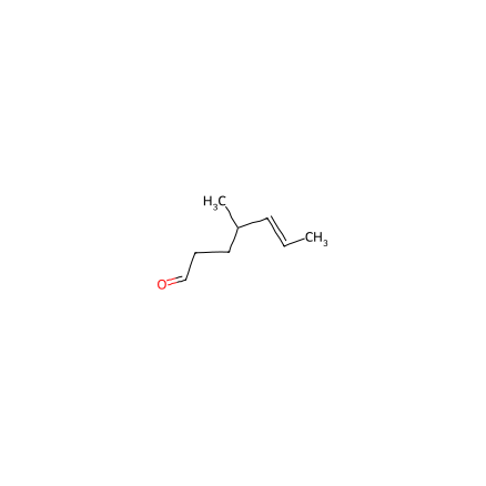 CC=CC(C)CCC=O